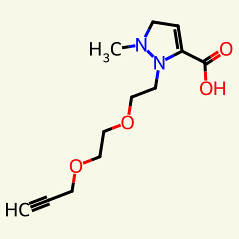 C#CCOCCOCCN1C(C(=O)O)=CCN1C